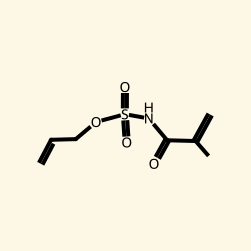 C=CCOS(=O)(=O)NC(=O)C(=C)C